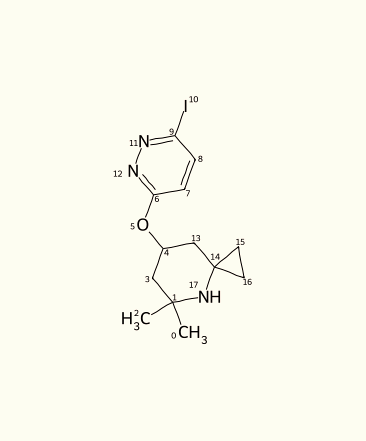 CC1(C)CC(Oc2ccc(I)nn2)CC2(CC2)N1